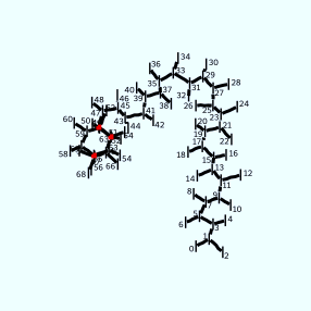 II(I)I(I)I(I)I(I)I(I)I(I)I(I)I(I)I(I)I(I)I(I)I(I)I(I)I(I)I(I)I(I)I(I)I(I)I(I)I(I)I(I)I(I)I(I)I(I)I(I)I(I)I(I)I(I)I(I)I(I)I(I)I(I)I(I)I(I)I